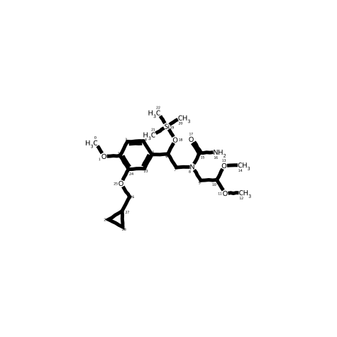 COc1ccc(C(CN(CC(OC)OC)C(N)=O)O[Si](C)(C)C)cc1OCC1CC1